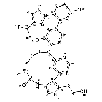 C[C@@H]1CCC[C@H](n2cnc(-c3cc(Cl)ccc3-n3cc(C(F)F)nn3)cc2=O)c2cc(ccn2)-c2c(cnn2CCO)NC1=O